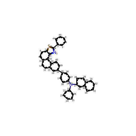 c1ccc(-c2nc3c(ccc4ccc5cc(-c6ccc(N(c7ccccc7)c7ccc8ccccc8c7)cc6)ccc5c43)s2)cc1